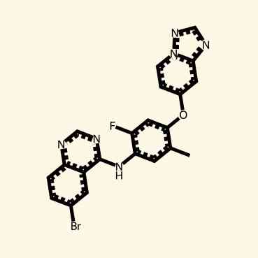 Cc1cc(Nc2ncnc3ccc(Br)cc23)c(F)cc1Oc1ccn2ncnc2c1